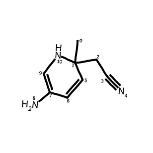 CC1(CC#N)C=CC(N)=CN1